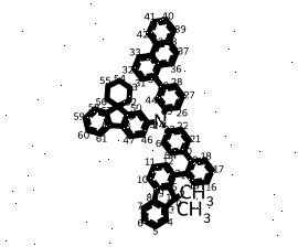 CC1(C)c2ccccc2-c2cccc(-c3ccccc3-c3ccc(N(c4cccc(-c5cccc6c5ccc5ccccc56)c4)c4ccc5c(c4)C4(CCCCC4)c4ccccc4-5)cc3)c21